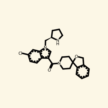 O=C(c1cn(C[C@H]2CCCN2)c2cc(Cl)ccc12)N1CCC2(CC1)OCc1ccccc12